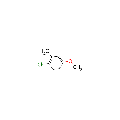 [CH2]c1cc(OC)ccc1Cl